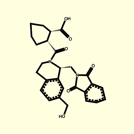 O=C(O)[C@H]1CCCC[C@H]1C(=O)N1CCc2ccc(CO)cc2[C@H]1CN1C(=O)c2ccccc2C1=O